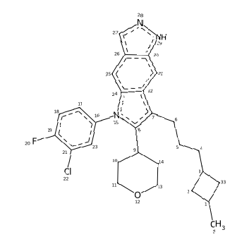 CC1CC(CCCc2c(C3CCOCC3)n(-c3ccc(F)c(Cl)c3)c3cc4cn[nH]c4cc23)C1